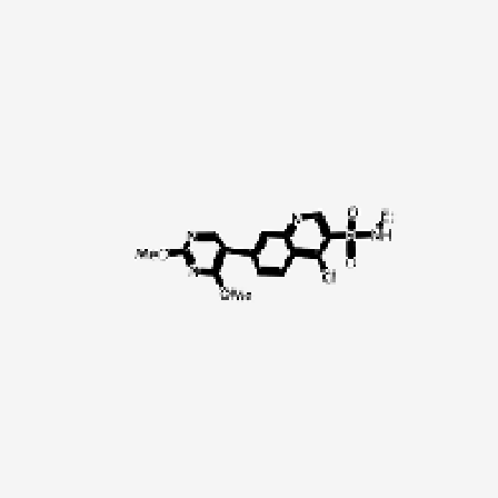 CCNS(=O)(=O)c1cnc2cc(-c3cnc(OC)nc3OC)ccc2c1Cl